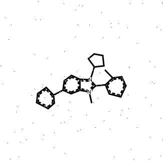 Cc1ccccc1-c1n(C2CCCC2)c2ccc(-c3ccccc3)cc2[n+]1C